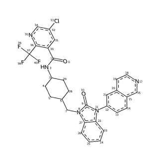 O=C(NC1CCC(Cn2c(=O)n(-c3ccc4cnccc4c3)c3ccccc32)CC1)c1cc(Cl)cnc1C(F)(F)F